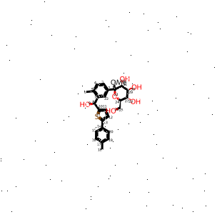 COC1(c2ccc(C)c(C(O)c3ccc(-c4ccc(C)cc4)s3)c2)O[C@H](CO)[C@@H](O)[C@H](O)[C@H]1O